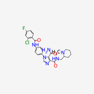 CN1CCCCC1CNC(=O)c1ncn(-c2ccc(NC(=O)c3ccc(F)cc3Cl)cc2)c1C(N)=O